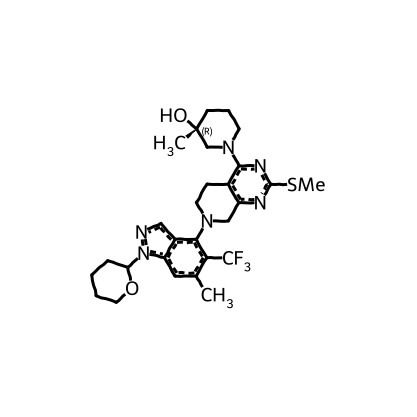 CSc1nc2c(c(N3CCC[C@@](C)(O)C3)n1)CCN(c1c(C(F)(F)F)c(C)cc3c1cnn3C1CCCCO1)C2